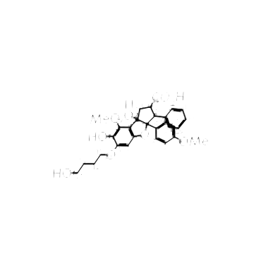 COc1ccc(C23Oc4cc(OCCCCO)c(O)c(OC)c4C2(O)CC(C(=O)O)C3c2ccccc2)cc1